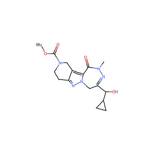 CN1N=C(C(O)C2CC2)Cn2nc3c(c2C1=O)CN(C(=O)OC(C)(C)C)CC3